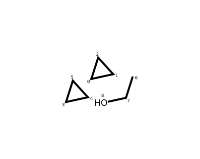 C1CC1.C1CC1.CCO